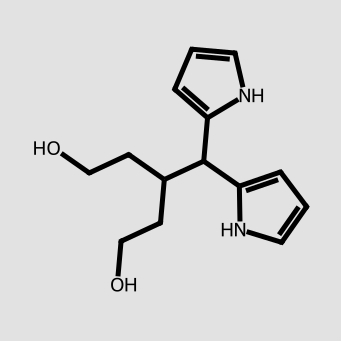 OCCC(CCO)C(c1ccc[nH]1)c1ccc[nH]1